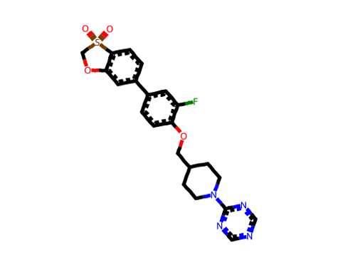 O=S1(=O)COc2cc(-c3ccc(OCC4CCN(c5ncncn5)CC4)c(F)c3)ccc21